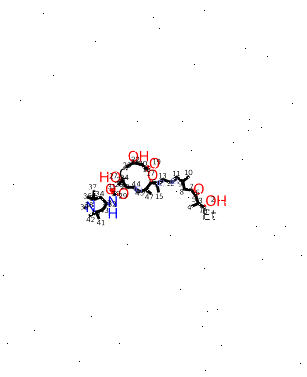 CCC(O)C(C)C1OC1CC(C)/C=C/C=C(\C)C1OC(=O)CC(O)CCC(C)(O)C(OC(=O)NC2CC(C)(C)N(C)C(C)(C)C2)/C=C/C1C